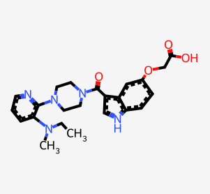 CCN(C)c1cccnc1N1CCN(C(=O)c2c[nH]c3ccc(OCC(=O)O)cc23)CC1